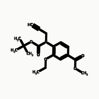 C#CCN(C(=O)OC(C)(C)C)c1ccc(C(=O)OC)cc1OCC